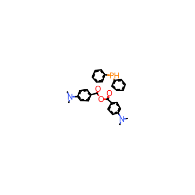 CN(C)c1ccc(C(=O)OC(=O)c2ccc(N(C)C)cc2)cc1.c1ccc(Pc2ccccc2)cc1